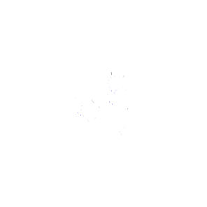 CCCCc1cc(N(C)n2cccc2)ccn1.O=C(O)/C=C\C(=O)O